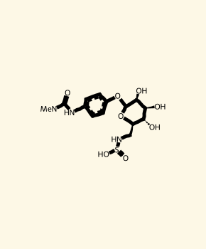 CNC(=O)Nc1ccc(OC2O[C@H](CNS(=O)O)[C@@H](O)[C@H](O)[C@@H]2O)cc1